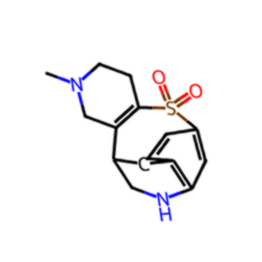 CN1CCC2=C(C1)C1CNc3cc(ccc3C1)S2(=O)=O